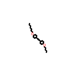 CCCCC=CCOc1ccc(C#Cc2ccc(OCCCCC)cc2)cc1